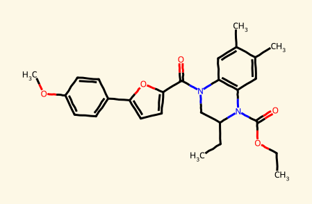 CCOC(=O)N1c2cc(C)c(C)cc2N(C(=O)c2ccc(-c3ccc(OC)cc3)o2)CC1CC